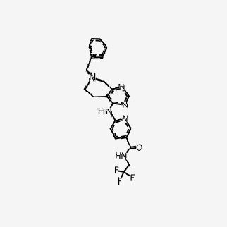 O=C(NCC(F)(F)F)c1ccc(Nc2ncnc3c2CCN(Cc2ccccc2)C3)nc1